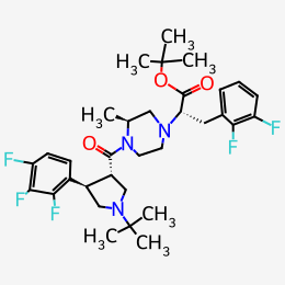 C[C@H]1CN([C@@H](Cc2cccc(F)c2F)C(=O)OC(C)(C)C)CCN1C(=O)[C@@H]1CN(C(C)(C)C)C[C@H]1c1ccc(F)c(F)c1F